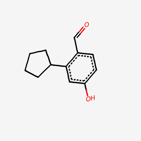 O=Cc1ccc(O)cc1C1CCCC1